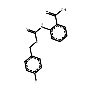 O=C(Nc1ccccc1C(=O)O)SCc1ccc(F)cc1